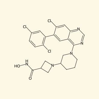 O=C(NO)C1CN(C2CCCN(c3ncnc4cc(Cl)c(-c5cc(Cl)ccc5Cl)cc34)C2)C1